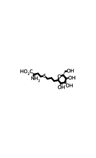 N[C@@H](CCSCCCC1O[C@H](CO)[C@@H](O)[C@H](O)[C@@H]1O)C(=O)O